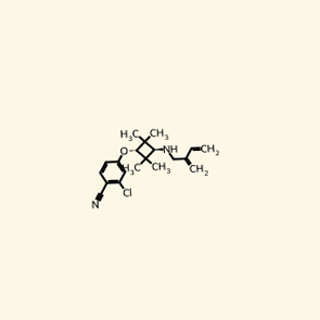 C=CC(=C)CN[C@H]1C(C)(C)[C@H](Oc2ccc(C#N)c(Cl)c2)C1(C)C